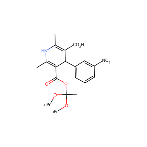 CCCOC(C)(OCCC)OC(=O)C1=C(C)NC(C)=C(C(=O)O)C1c1cccc([N+](=O)[O-])c1